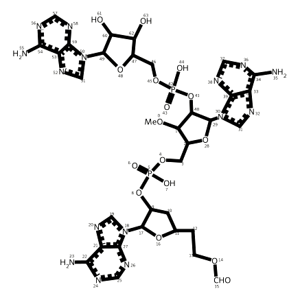 COC1C(COP(=O)(O)OC2CC(CCOC=O)OC2n2cnc3c(N)ncnc32)OC(n2cnc3c(N)ncnc32)C1OP(=O)(O)OCC1OC(n2cnc3c(N)ncnc32)C(O)C1O